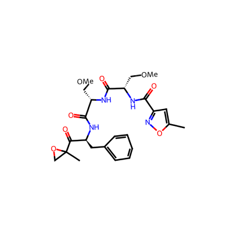 COC[C@H](NC(=O)c1cc(C)on1)C(=O)N[C@@H](COC)C(=O)N[C@@H](Cc1ccccc1)C(=O)C1(C)CO1